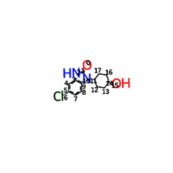 O=c1[nH]c2cc(Cl)ccc2n1[C@H]1CC[C@H](O)CC1